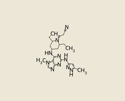 CCC1CC(Nc2nc(Nc3cc(C)[nH]n3)nc3ncn(C)c23)CC(CC)N1CCC#N